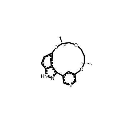 C[C@H]1CCOC[C@H](C)Oc2ccc3[nH]nc(c3c2)-c2cncc(c2)O1